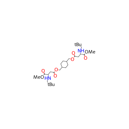 COC(=O)C(CC(=O)OCC1CCC(COC(=O)CC(NCC(C)(C)C)C(=O)OC)CC1)NCC(C)(C)C